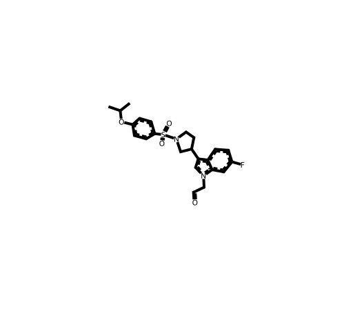 CC(C)Oc1ccc(S(=O)(=O)N2CCC(c3cn(CC=O)c4cc(F)ccc34)C2)cc1